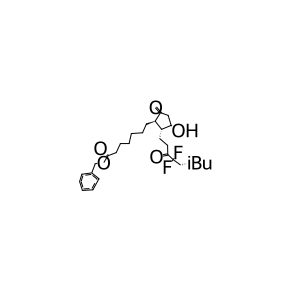 CC[C@@H](C)CC(F)(F)C(=O)CC[C@H]1[C@H](O)CC(=O)[C@@H]1CCCCCCC(=O)OCc1ccccc1